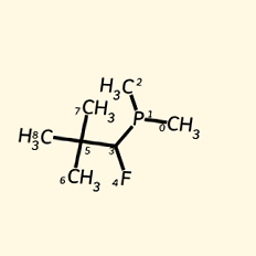 CP(C)C(F)C(C)(C)C